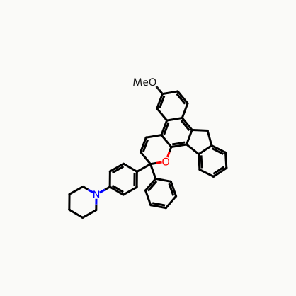 COc1ccc2c3c(c4c(c2c1)C=CC(c1ccccc1)(c1ccc(N2CCCCC2)cc1)O4)-c1ccccc1C3